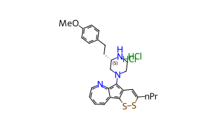 CCCC1=Cc2c(c3ccccnc-3c2N2CCN[C@@H](CCc3ccc(OC)cc3)C2)SS1.Cl.Cl